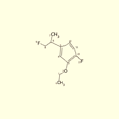 CCOc1cc([C](C)CF)ccc1F